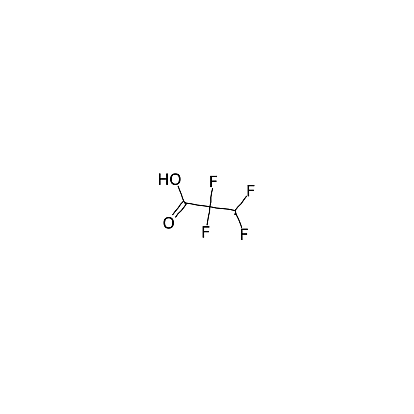 O=C(O)C(F)(F)[C](F)F